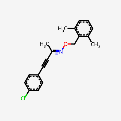 C/C(C#Cc1ccc(Cl)cc1)=N\OCc1c(C)cccc1C